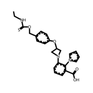 CCNC(=S)OCc1ccc(OC2CN(c3cccc(C(=O)O)c3-n3cccc3)C2)cc1